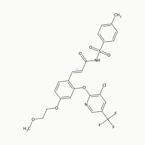 COCCOc1ccc(/C=C/C(=O)NS(=O)(=O)c2ccc(C)cc2)c(Oc2ncc(C(F)(F)F)cc2Cl)c1